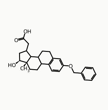 C[C@]12CCC3c4ccc(OCc5ccccc5)cc4CCC3C1C(CC(=O)O)C[C@@H]2O